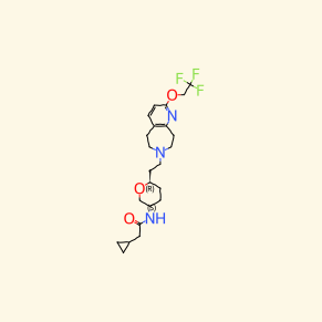 O=C(CC1CC1)N[C@H]1CC[C@H](CCN2CCc3ccc(OCC(F)(F)F)nc3CC2)OC1